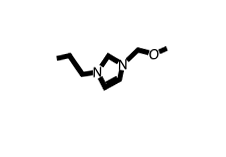 CCCN1C=CN(COC)C1